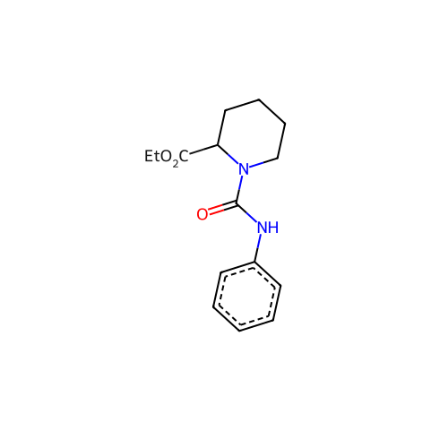 CCOC(=O)C1CCCCN1C(=O)Nc1ccccc1